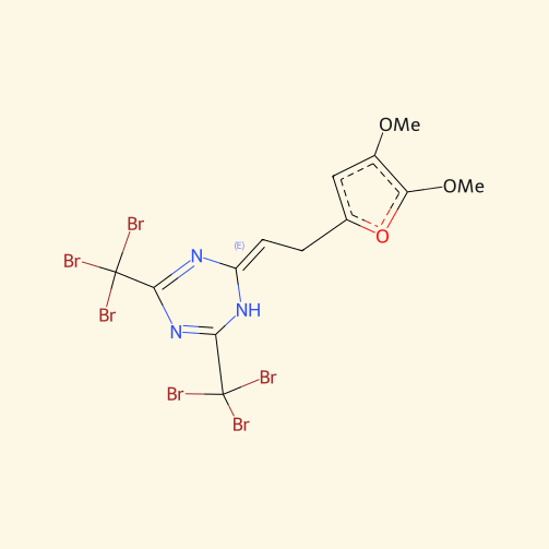 COc1cc(C/C=C2/N=C(C(Br)(Br)Br)N=C(C(Br)(Br)Br)N2)oc1OC